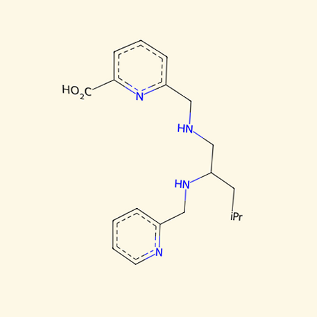 CC(C)CC(CNCc1cccc(C(=O)O)n1)NCc1ccccn1